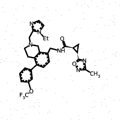 CCn1ccnc1CN1CCc2c(-c3cccc(OC(F)(F)F)c3)ccc(CNC(=O)[C@H]3C[C@@H]3c3nc(C)no3)c2C1